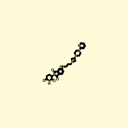 O=C1CCC(N2C(=O)c3ccc(NCCCN4CC(N5CCN(c6ccccn6)CC5)C4)cc3C2=O)C(=O)N1